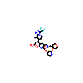 Cc1ncc([C@@H](CC(=O)O)c2ccn3c(C(F)(F)F)nnc3c2C)cc1CN1CC2(CCOCC2)Oc2ncccc2S1(=O)=O